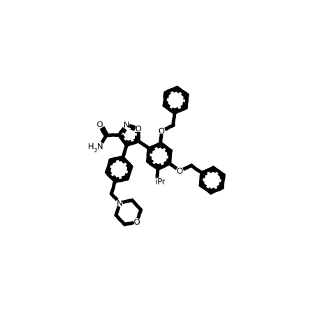 CC(C)c1cc(-c2onc(C(N)=O)c2-c2ccc(CN3CCOCC3)cc2)c(OCc2ccccc2)cc1OCc1ccccc1